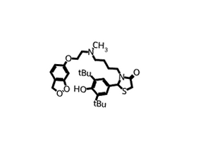 CN(CCCCN1C(=O)CSC1c1cc(C(C)(C)C)c(O)c(C(C)(C)C)c1)CCOc1ccc2c(c1)OOC2